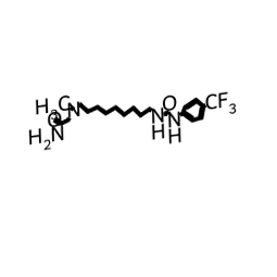 CN(CCCCCCCCCNC(=O)Nc1ccc(C(F)(F)F)cc1)CC(N)=O